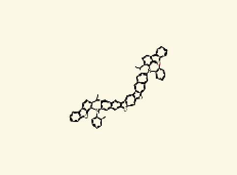 Cc1ccccc1N(c1ccc2cc3c(cc2c1)oc1cc2oc4cc5cc(N(c6ccccc6C)c6c(C(C)C)ccc7c6oc6ccccc67)ccc5cc4c2cc13)c1c(C(C)C)ccc2c1oc1ccccc12